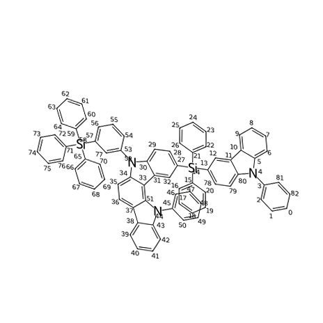 c1ccc(-n2c3ccccc3c3cc([Si](c4ccccc4)(c4ccccc4)c4ccc5c(c4)c4c(ccc6c7ccccc7n(-c7ccccc7)c64)n5-c4cccc([Si](c5ccccc5)(c5ccccc5)c5ccccc5)c4)ccc32)cc1